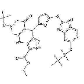 CCOC(=O)c1[nH]cc2c1NC1=C(C(=O)CN(OC(C)(C)C)C1)C2c1ccc(Sc2nc3cc(O[Si](C)(C)C(C)(C)C)ccc3[nH]2)o1